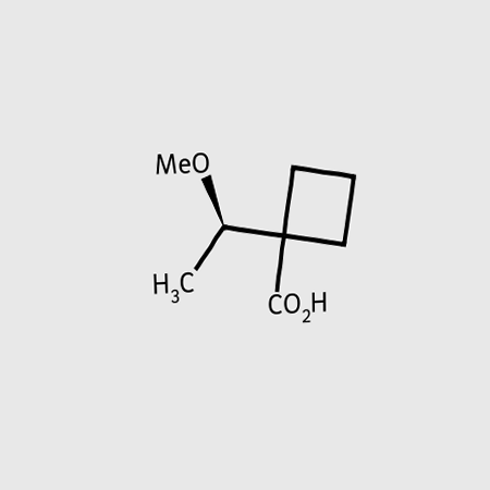 CO[C@H](C)C1(C(=O)O)CCC1